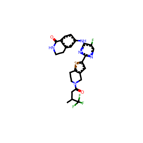 CC(CC(=O)N1CCc2sc(-c3ncc(F)c(Nc4ccc5c(c4)CCNC5=O)n3)cc2C1)C(F)(F)F